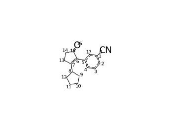 N#Cc1cccc(C2=C(C3CCCC3)CCC2=O)c1